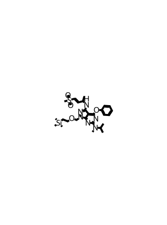 CC(/C=C/S(C)(=O)=O)Nc1nn(COCC[Si](C)(C)C)c2nc(N(C)C(C)C)nc(Oc3ccccc3)c12